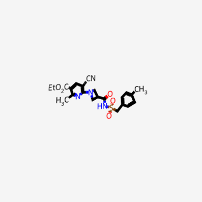 CCOC(=O)c1cc(C#N)c(N2CC(C(=O)NS(=O)(=O)Cc3ccc(C)cc3)C2)nc1C